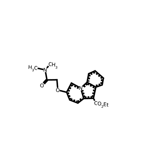 CCOC(=O)c1c2ccccc2n2cc(OCC(=O)N(C)C)ccc12